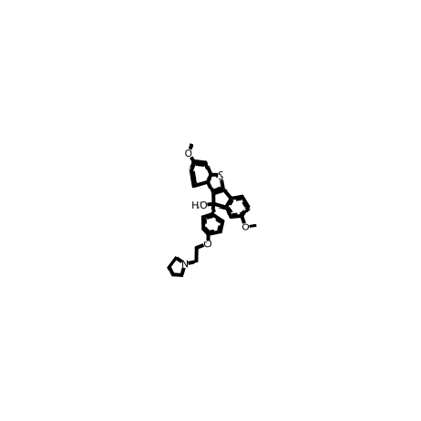 COC1=CC2SC3=C(C2C=C1)C(O)(c1ccc(OCCN2CCCC2)cc1)c1cc(OC)ccc13